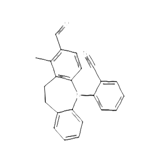 Cc1c(C=O)ccc2c1CCc1ccccc1N2c1ccccc1C#N